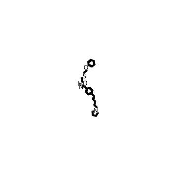 C(=Cc1ccc(-c2nnc(CSCCOc3ccccc3)o2)cc1)CCCN1CCCC1